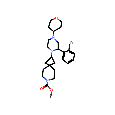 CC(C)c1ccccc1C1CN(C2CCOCC2)CCN1C1CC2(CCN(C(=O)OC(C)(C)C)CC2)C1